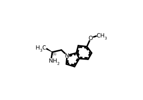 COc1ccc2ccn(C[C@H](C)N)c2c1